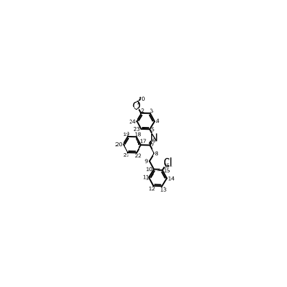 COc1ccc(N=C(CCc2ccccc2Cl)c2ccccc2)cc1